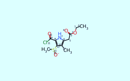 CCOC(=O)Cc1[nH]c(C(=O)Cl)c([S+](C)[O-])c1C